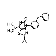 CN(C)c1nc(=O)n(-c2cccc(Cc3ccccc3)c2)c2nc(C3CC3)sc12